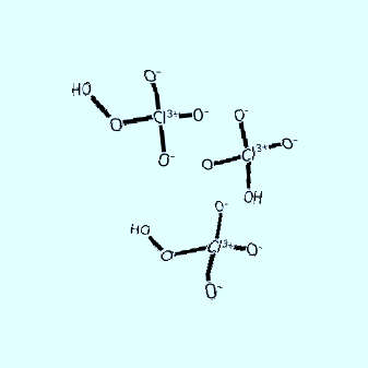 [O-][Cl+3]([O-])([O-])O.[O-][Cl+3]([O-])([O-])OO.[O-][Cl+3]([O-])([O-])OO